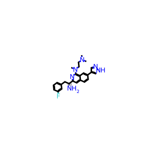 CN(C)CCN(C)c1nc([C@H](N)Cc2cccc(F)c2)cc2ccc(-c3cn[nH]c3)cc12